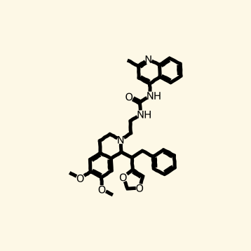 COc1cc2c(cc1OC)C(C(Cc1ccccc1)C1=COCO1)N(CCNC(=O)Nc1cc(C)nc3ccccc13)CC2